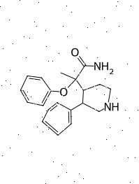 CC(Oc1ccccc1)(C(N)=O)C1CCNCC1c1ccccc1